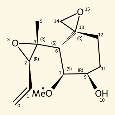 C=C[C@H]1O[C@]1(C)[C@H]1[C@H](OC)[C@H](O)CC[C@]12CO2